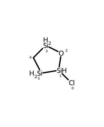 Cl[SiH]1O[SiH2]C[SiH2]1